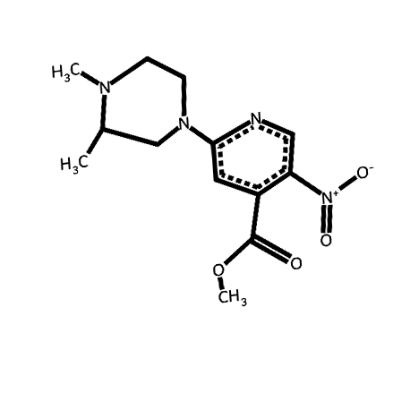 COC(=O)c1cc(N2CCN(C)C(C)C2)ncc1[N+](=O)[O-]